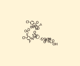 COC(=O)CSc1cc(/N=c2\sc(=O)n3n2CCCC3)c(F)cc1Cl.CS(=O)(=O)c1cc(Cl)ccc1C(=O)c1cnoc1C1CC1.C[S+](C)C.O=C(O)CNCP(=O)([O-])O